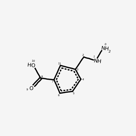 NNCc1cccc(C(=O)O)c1